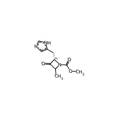 COC(=O)N1C(C)C(=O)[C@@H]1Cc1cnc[nH]1